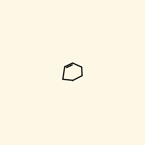 [CH]1CC=CCC1